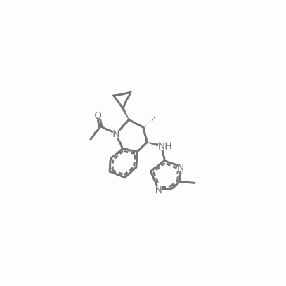 CC(=O)N1c2ccccc2[C@H](Nc2cncc(C)n2)[C@@H](C)[C@@H]1C1CC1